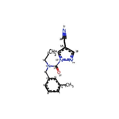 CCN(Cc1cccc(C)c1)C(=O)n1cc(C#N)cn1